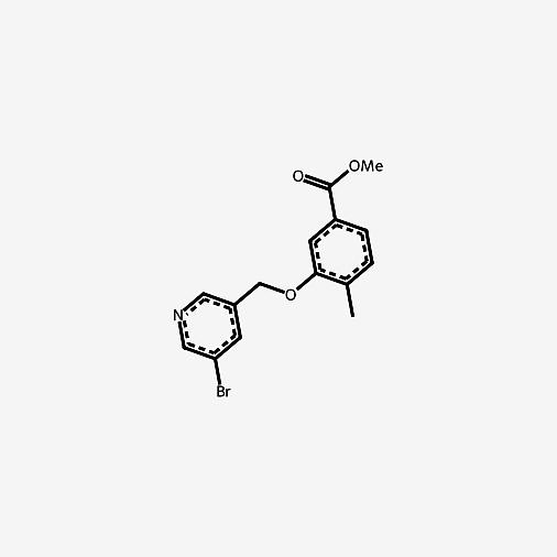 COC(=O)c1ccc(C)c(OCc2cncc(Br)c2)c1